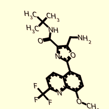 COc1ccc(-c2nc(C(=O)NC(C)(C)C)c(CN)o2)c2ccc(C(F)(F)F)nc12